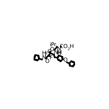 CC(C)[C@H](NC(=O)O)C(=O)NC(Cc1ccc(OCc2ccccc2)cc1)C(=O)C(F)(F)C(=O)NCc1ccccc1